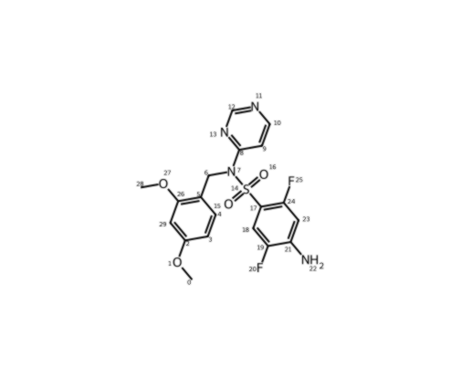 COc1ccc(CN(c2ccncn2)S(=O)(=O)c2cc(F)c(N)cc2F)c(OC)c1